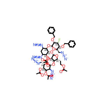 CC(=O)OCC[C@H]1O[C@@H](O[C@H]2[C@H](O[C@H]3O[C@H](CN=[N+]=[N-])[C@@H](OCc4ccccc4)[C@H](F)[C@H]3OCc3ccccc3)C(N=[N+]=[N-])CC(N=[N+]=[N-])[C@@H]2OC(C)=O)[C@H](OC(C)=O)[C@@H]1O[C@H]1O[C@@H](CN=[N+]=[N-])[C@@H](OC(C)=O)[C@H](OC(C)=O)C1N=[N+]=[N-]